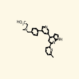 Cc1cccc(-c2cc(-c3cncc(-c4ccc(CN(C)CC(=O)O)cc4)c3)c3cc[nH]c3n2)n1